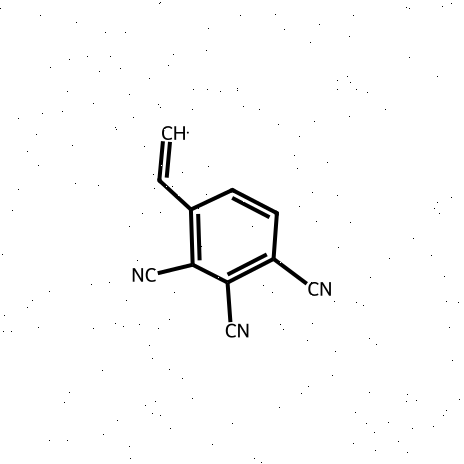 [CH]=Cc1ccc(C#N)c(C#N)c1C#N